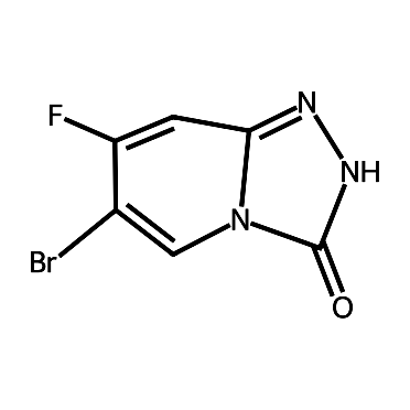 O=c1[nH]nc2cc(F)c(Br)cn12